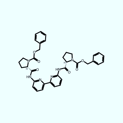 O=C(Nc1cccc(-c2cccc(NC(=O)[C@@H]3CCCN3C(=O)OCc3ccccc3)n2)n1)[C@@H]1CCCN1C(=O)OCc1ccccc1